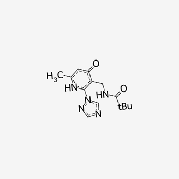 Cc1cc(=O)c(CNC(=O)C(C)(C)C)c(-n2cncn2)[nH]1